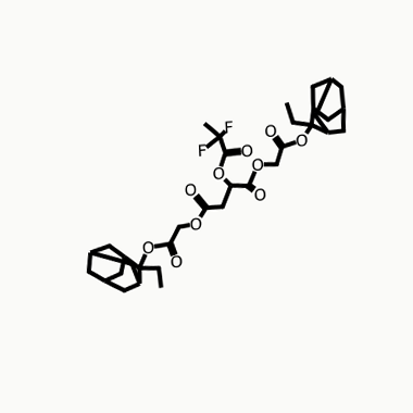 CCC1(OC(=O)COC(=O)CC(OC(=O)C(C)(F)F)C(=O)OCC(=O)OC2(CC)C3CC4CC(C3)CC2C4)C2CC3CC(C2)CC1C3